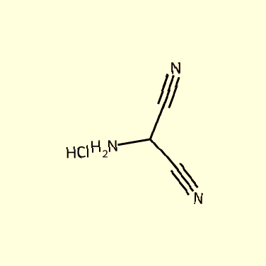 Cl.N#CC(N)C#N